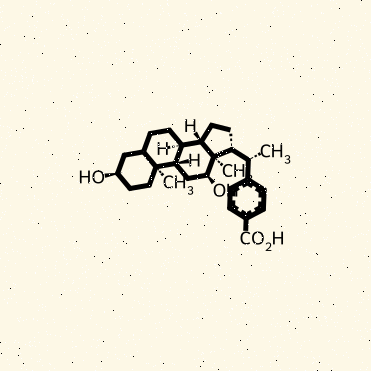 C[C@H](c1ccc(C(=O)O)cc1)[C@H]1CC[C@H]2[C@@H]3CCC4C[C@H](O)CC[C@]4(C)[C@H]3C[C@H](O)[C@]12C